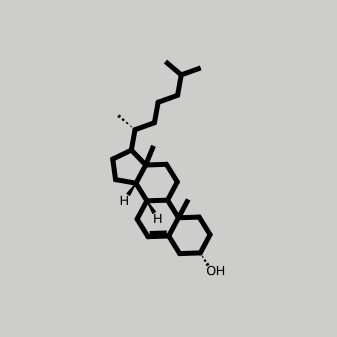 CC(C)CCC[C@@H](C)C1CC[C@H]2[C@H]3CC=C4C[C@@H](O)CCC4(C)C3CCC12C